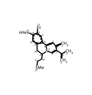 C=C(C)C1=CN2C(=CC1=C)c1cc(CC)c(CCCCCC)cc1CC2CCSC